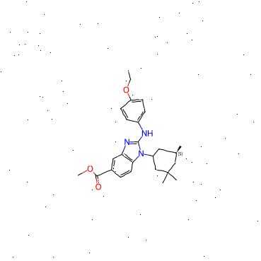 CCOc1ccc(Nc2nc3cc(C(=O)OC)ccc3n2C2C[C@@H](C)CC(C)(C)C2)cc1